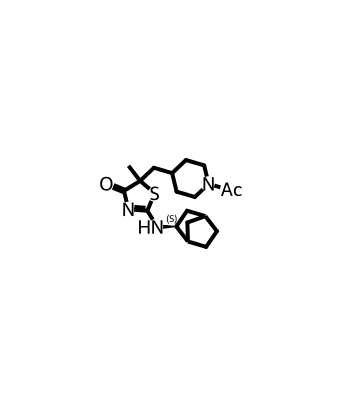 CC(=O)N1CCC(CC2(C)SC(N[C@H]3CC4CCC3C4)=NC2=O)CC1